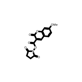 COc1ccc2cc(C(=O)ON3C(=O)CCC3=O)c(=O)oc2c1